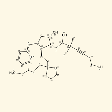 CCCCCC1(CC[C@H]2C(O[C@@H]3C=CC=CO3)C[C@H](O)[C@@H]2CC(O)C(F)(F)C#CCCO)OCCO1